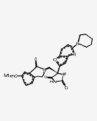 COc1ccc2c(c1)C(=O)N(C[C@@]1(c3cc4nc(N5CCCCC5)ccc4o3)NC(=O)NC1=O)C2